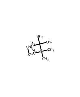 BC#N.CC(C)(N)[Si](C)(C)C